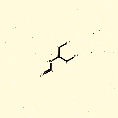 O=[C]NC(CF)CF